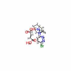 CN1C2CCC1CN(c1ccc(Br)nn1)CC2.O=C(O)/C=C/C(=O)O